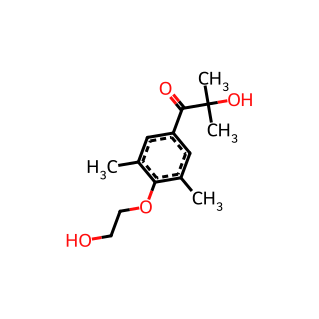 Cc1cc(C(=O)C(C)(C)O)cc(C)c1OCCO